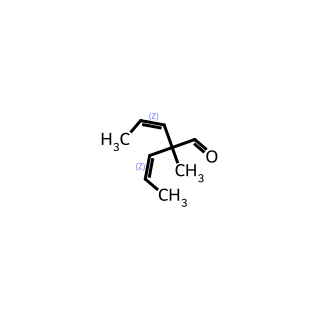 C/C=C\C(C)(C=O)/C=C\C